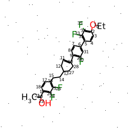 CCOc1ccc(-c2ccc(C3=CCC(CCc4ccc(C(C)O)c(F)c4F)CC3)c(F)c2)c(F)c1F